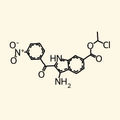 CC(Cl)OC(=O)c1ccc2c(N)c(C(=O)c3cccc([N+](=O)[O-])c3)[nH]c2c1